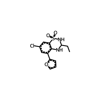 CCC1Nc2c(-c3ccco3)cc(Cl)cc2S(=O)(=O)N1